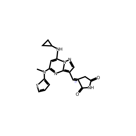 CN(c1cc(NC2CC2)n2ncc(/C=C3\CC(=O)NC3=O)c2n1)c1cccs1